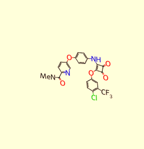 CNC(=O)c1ccc(Oc2ccc(Nc3c(Oc4ccc(Cl)c(C(F)(F)F)c4)c(=O)c3=O)cc2)cn1